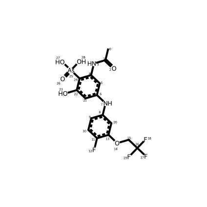 CC(=O)Nc1cc(Nc2ccc(F)c(OCC(F)(F)F)c2)cc(O)c1[As](=O)(O)O